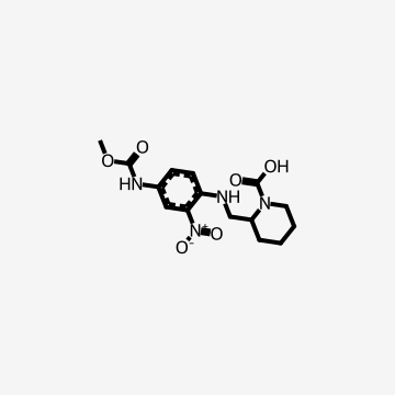 COC(=O)Nc1ccc(NCC2CCCCN2C(=O)O)c([N+](=O)[O-])c1